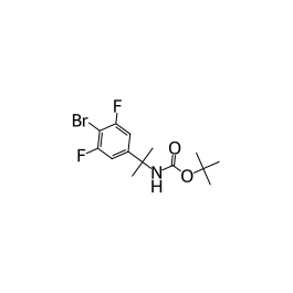 CC(C)(C)OC(=O)NC(C)(C)c1cc(F)c(Br)c(F)c1